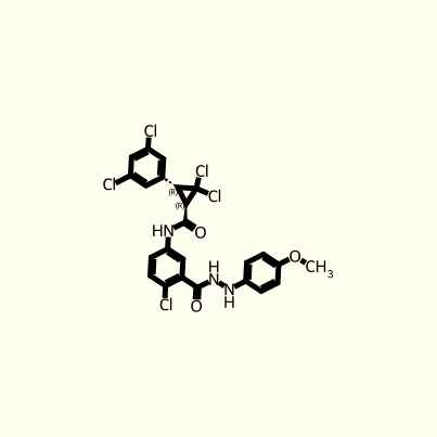 COc1ccc(NNC(=O)c2cc(NC(=O)[C@H]3[C@H](c4cc(Cl)cc(Cl)c4)C3(Cl)Cl)ccc2Cl)cc1